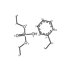 CCOP(=O)(O)OCC.CCc1ccccn1